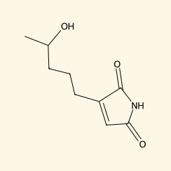 CC(O)CCCC1=CC(=O)NC1=O